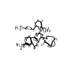 CCOCC1CCCC(C)N1c1nc(-c2cnc(N)cc2C(F)F)nc(N2CCOCC2)n1